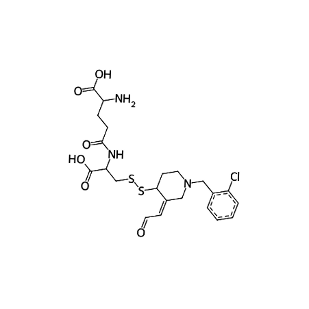 NC(CCC(=O)NC(CSSC1CCN(Cc2ccccc2Cl)C/C1=C/C=O)C(=O)O)C(=O)O